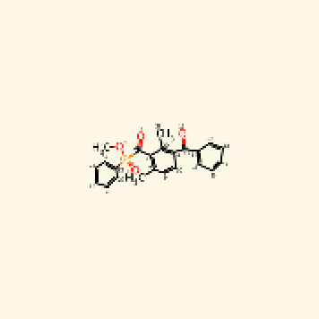 COP(=O)(C(=O)c1c(C)ccc(C(=O)c2ccccc2)c1C)c1ccccc1